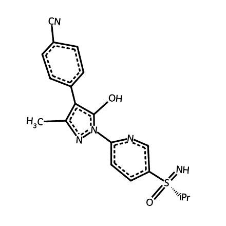 Cc1nn(-c2ccc([S@@](=N)(=O)C(C)C)cn2)c(O)c1-c1ccc(C#N)cc1